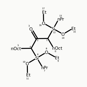 CCCCCCCCC(C(=O)C(CCCCCCCC)[Si](CCC)(OCC)OCC)[Si](CCC)(OCC)OCC